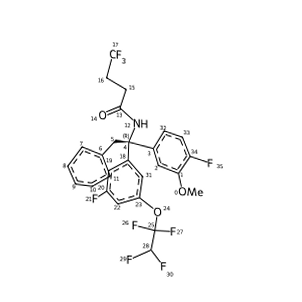 COc1cc([C@@](Cc2ccccc2)(NC(=O)CCC(F)(F)F)c2cc(F)cc(OC(F)(F)C(F)F)c2)ccc1F